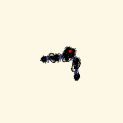 O=C(/C=C/c1ccccc1)Oc1ccc(/C=C/c2cc3ccccc3c3c2OCOc2c(/C=C/c4ccc(OC(=O)/C=C/c5ccccc5)cc4)cc4ccccc4c2-3)cc1